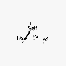 [Pd].[Pd].[SeH][SeH]